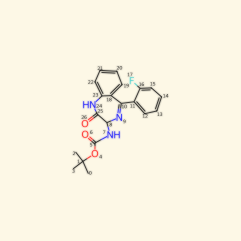 CC(C)(C)OC(=O)NC1N=C(c2ccccc2F)c2ccccc2NC1=O